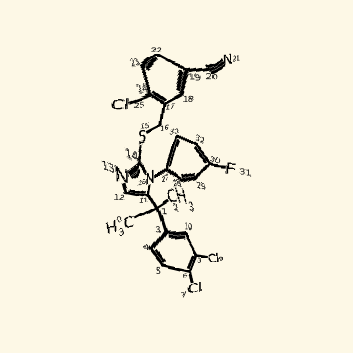 CC(C)(c1ccc(Cl)c(Cl)c1)c1cnc(SCc2cc(C#N)ccc2Cl)n1-c1ccc(F)cc1